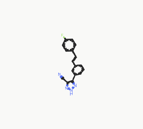 N#Cc1n[nH]nc1-c1cccc(C=Cc2ccc(F)cc2)c1